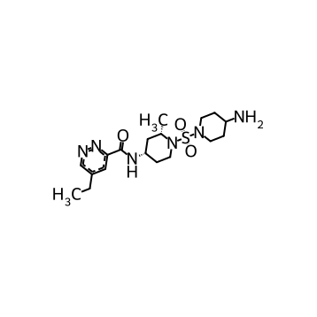 CCc1cnnc(C(=O)N[C@H]2CCN(S(=O)(=O)N3CCC(N)CC3)[C@@H](C)C2)c1